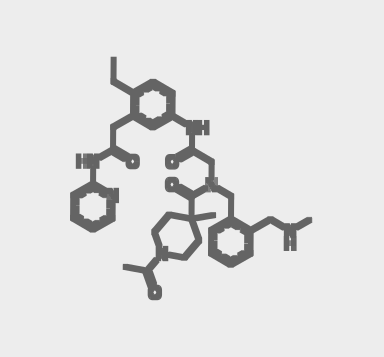 CCc1ccc(NC(=O)CN(Cc2ccccc2CNC)C(=O)C2(C)CCN(C(C)=O)CC2)cc1CC(=O)Nc1ccccn1